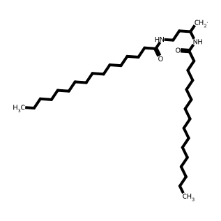 [CH2]C(CCNC(=O)CCCCCCCCCCCCCCC)NC(=O)CCCCCCCCCCCCCCC